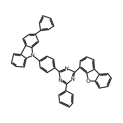 c1ccc(-c2ccc3c4ccccc4n(-c4ccc(-c5nc(-c6ccccc6)nc(-c6cccc7c6oc6ccccc67)n5)cc4)c3c2)cc1